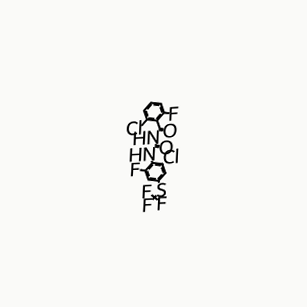 O=C(NC(=O)c1c(F)cccc1Cl)Nc1c(F)cc(SC(F)(F)F)cc1Cl